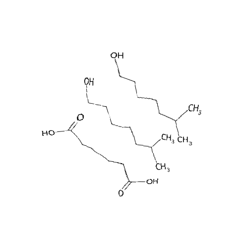 CC(C)CCCCCO.CC(C)CCCCCO.O=C(O)CCCCC(=O)O